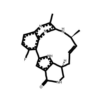 Cc1nc2ccc(F)c3c2nc1N[C@@H](C)/C=C/C[C@H]1CNC(=O)c2cc-3[nH]c21